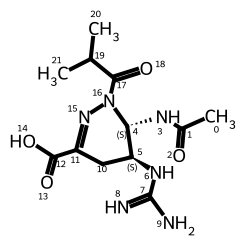 CC(=O)N[C@@H]1[C@@H](NC(=N)N)CC(C(=O)O)=NN1C(=O)C(C)C